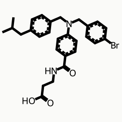 CC(C)Cc1ccc(CN(Cc2ccc(Br)cc2)c2ccc(C(=O)NCCC(=O)O)cc2)cc1